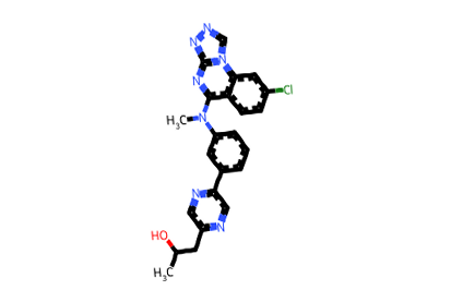 CC(O)Cc1cnc(-c2cccc(N(C)c3nc4nncn4c4cc(Cl)ccc34)c2)cn1